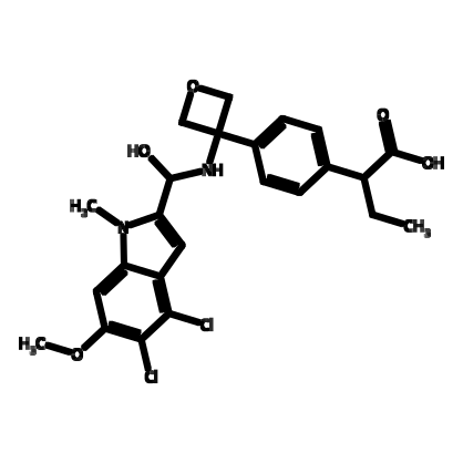 CCC(C(=O)O)c1ccc(C2(NC(O)c3cc4c(Cl)c(Cl)c(OC)cc4n3C)COC2)cc1